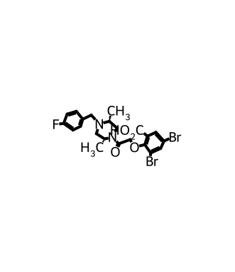 C[C@@H]1CN(Cc2ccc(F)cc2)[C@@H](C)CN1C(=O)COc1c(Br)cc(Br)cc1C(=O)O